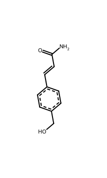 NC(=O)C=Cc1ccc(CO)cc1